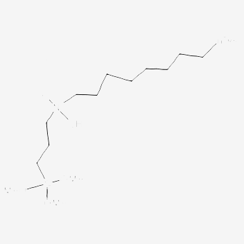 CCCCCCCCCCCCCCCCCC[N+](C)(C)CCC[Si](OC)(OC)OC.[Cl-]